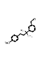 COc1ccc(CCC(C)(C)c2cccc(CC(C)C)c2)cc1